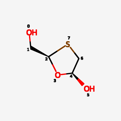 OC[C@@H]1O[C@H](O)CS1